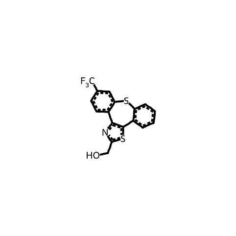 OCc1nc2c(s1)-c1ccccc1Sc1cc(C(F)(F)F)ccc1-2